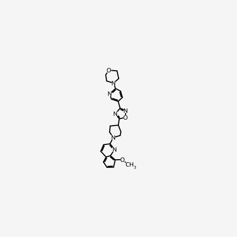 COc1cccc2ccc(N3CCC(c4nc(-c5ccc(N6CCOCC6)nc5)no4)CC3)nc12